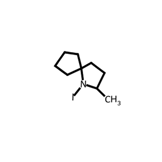 CC1CCC2(CCCC2)N1I